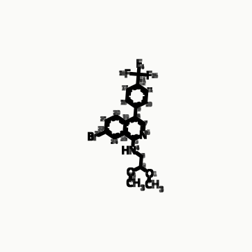 COC(CNc1ncc(-c2ccc(C(F)(F)F)cc2)c2ccc(Br)cc12)OC